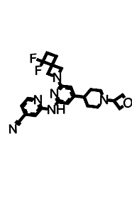 N#Cc1ccnc(Nc2cc(C3CCN(C4COC4)CC3)cc(N3CC4(CCC4(F)F)C3)n2)c1